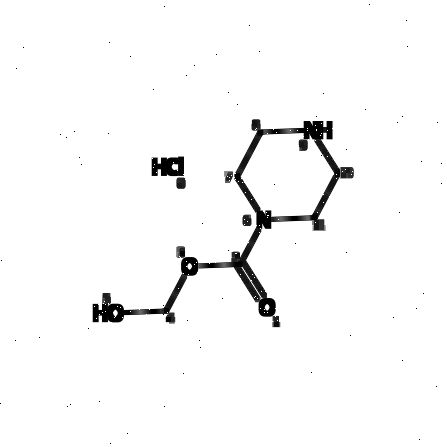 Cl.O=C(OCO)N1CCNCC1